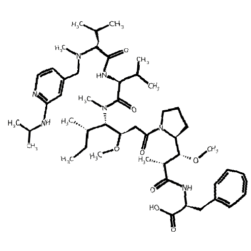 CC[C@H](C)[C@@H]([C@@H](CC(=O)N1CCC[C@H]1[C@H](OC)[C@@H](C)C(=O)N[C@@H](Cc1ccccc1)C(=O)O)OC)N(C)C(=O)[C@@H](NC(=O)[C@H](C(C)C)N(C)Cc1ccnc(NC(C)C)c1)C(C)C